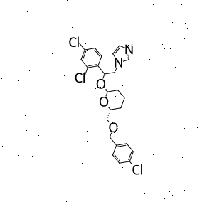 Clc1ccc(COC[C@H]2CCC[C@H](OC(Cn3ccnc3)c3ccc(Cl)cc3Cl)O2)cc1